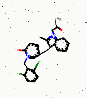 COC(=O)Cn1c(C)c(Cc2ccc(=O)n(Cc3c(F)cccc3F)c2)c2ccccc21